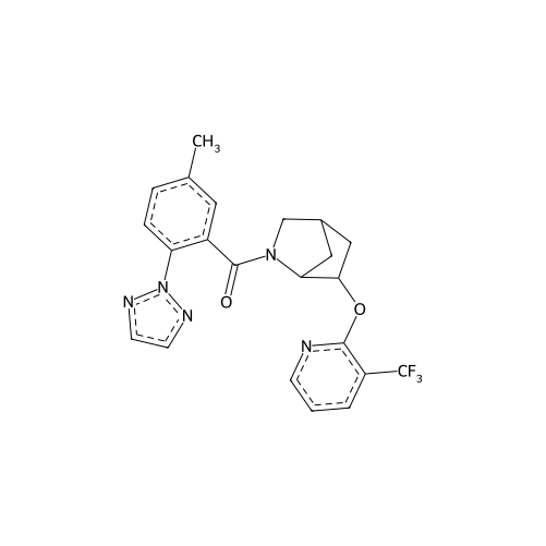 Cc1ccc(-n2nccn2)c(C(=O)N2CC3CC(Oc4ncccc4C(F)(F)F)C2C3)c1